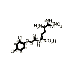 NC(=N[N+](=O)[O-])C(N)CC[C@H](NC(=O)COc1ccc(Cl)cc1Cl)C(=O)O